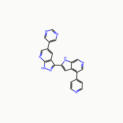 c1cc(-c2cncc3[nH]c(-c4n[nH]c5ncc(-c6cncnc6)cc45)cc23)ccn1